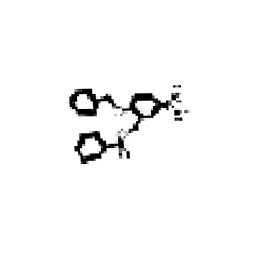 O=C(OCc1cc([N+](=O)[O-])ccc1OCc1ccccc1)c1ccccc1